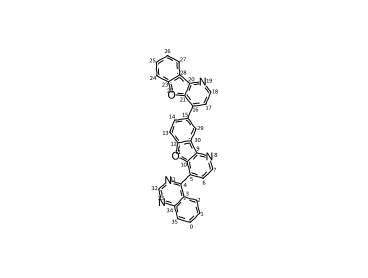 c1ccc2c(-c3ccnc4c3oc3ccc(-c5ccnc6c5oc5ccccc56)cc34)ncnc2c1